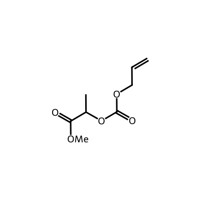 C=CCOC(=O)OC(C)C(=O)OC